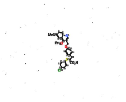 COc1ccc2ncc(COc3ccc(CC(Sc4ccc(Cl)cc4)C(=O)O)cc3)c(OC(C)C)c2c1